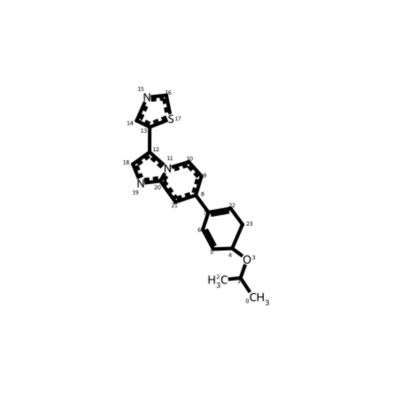 CC(C)OC1C=CC(c2ccn3c(-c4cncs4)cnc3c2)=CC1